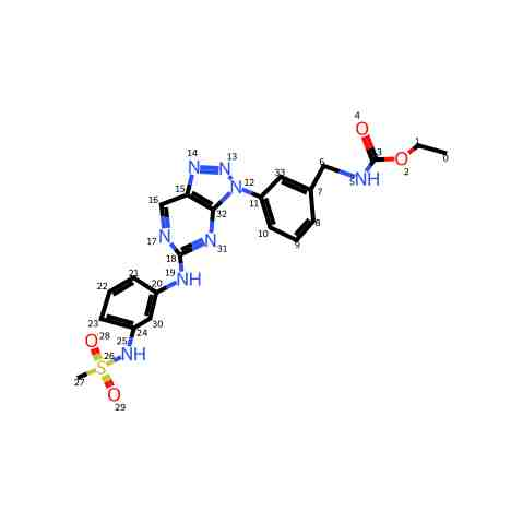 CCOC(=O)NCc1cccc(-n2nnc3cnc(Nc4cccc(NS(C)(=O)=O)c4)nc32)c1